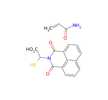 C=CC(N)=O.O=C(O)C(S)N1C(=O)c2cccc3cccc(c23)C1=O